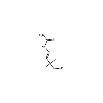 CC(C)CC(C)(C)C=NNC(N)=S